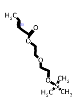 C/C=C/C(=O)OCCOCCO[Si](C)(C)C